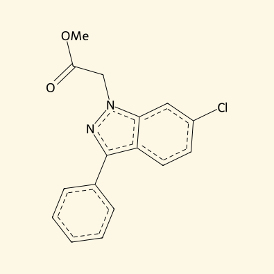 COC(=O)Cn1nc(-c2ccccc2)c2ccc(Cl)cc21